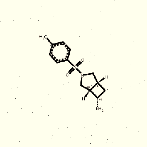 Cc1ccc(S(=O)(=O)N2C[C@@H]3C[C@H](N)[C@@H]3C2)cc1